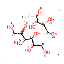 O=C(CO)[C@H](O)[C@@H](O)[C@H](O)CO.O=C[C@H](O)[C@@H](O)[C@H](O)CO